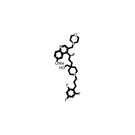 COc1ccc2ncc(CN3CCOCC3)c([C@@H](F)CCC3(CO)CCN(CCCc4c(F)cc(F)cc4F)CC3)c2c1